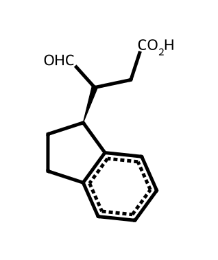 O=CC(CC(=O)O)[C@@H]1CCc2ccccc21